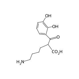 NCCCCC(C(=O)O)C(=O)c1cccc(O)c1O